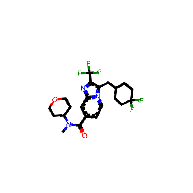 CN(C(=O)c1ccn2c(CC3CCC(F)(F)CC3)c(C(F)(F)F)nc2c1)C1CCOCC1